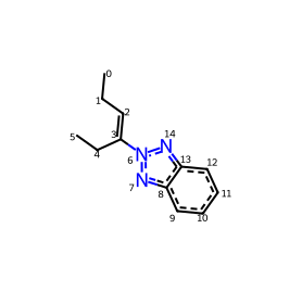 CC/C=C(\CC)n1nc2ccccc2n1